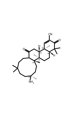 CC1(C)CCC2C(=O)C[C@@H]3[C@@]4(C)C=C(C#N)C(=O)C(C)(C)[C@@H]4CC[C@@]3(C)[C@]2(C)CC[C@@](C)(N)CC1